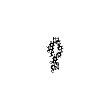 CC(=O)COc1cc2cc(Nc3nc(C4=CCN(CC5CCN(c6ccc7c(c6)C(=O)N(C6CCC(=O)NC6=O)C7=O)CC5)CC4)ncc3Cl)ccc2n(C)c1=O